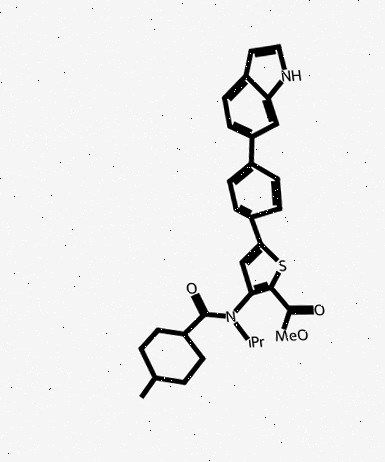 COC(=O)c1sc(-c2ccc(-c3ccc4cc[nH]c4c3)cc2)cc1N(C(=O)C1CCC(C)CC1)C(C)C